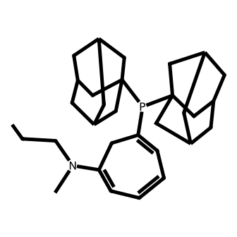 CCCN(C)C1=CC=CC=C(P(C23CC4CC(CC(C4)C2)C3)C23CC4CC(CC(C4)C2)C3)C1